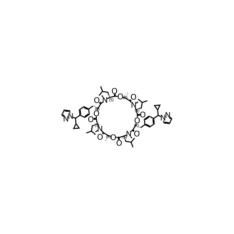 CC(C)C[C@H]1C(=O)O[C@H](Cc2ccc(C(C3CC3)n3cccn3)cc2)C(=O)N(C)[C@@H](CC(C)C)C(=O)O[C@H](C)C(=O)N(C)[C@@H](CC(C)C)C(=O)O[C@H](Cc2ccc(C(C3CC3)n3cccn3)cc2)C(=O)N(C)[C@@H](CC(C)C)C(=O)O[C@H](C)C(=O)N1C